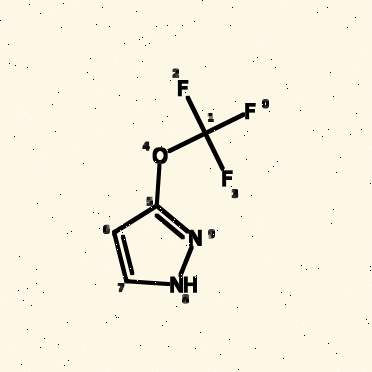 FC(F)(F)Oc1cc[nH]n1